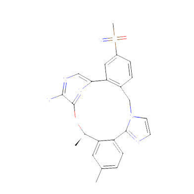 Cc1ccc2c(c1)[C@@H](C)Oc1nc(cnc1N)-c1cc(S(C)(=N)=O)ccc1Cn1ccnc1-2